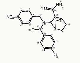 N#Cc1ccc(CN(C2C3CCC(C3)C2C(N)=O)[S+]([O-])c2ccc(Cl)cc2)cc1